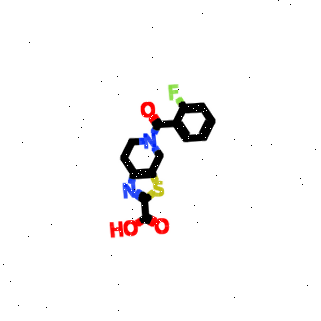 O=C(O)c1nc2c(s1)CN(C(=O)c1ccccc1F)CC2